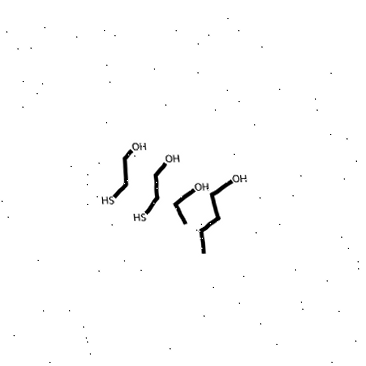 CCCCO.CCO.OCCS.OCCS